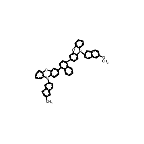 COc1ccc2cc(N3c4ccccc4Oc4cc(-c5ccc(-c6ccc7c(c6)Oc6ccccc6N7c6ccc7cc(C)ccc7c6)c6ccccc56)ccc43)ccc2c1